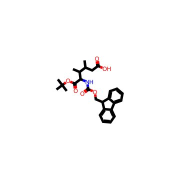 CC(CC(=O)O)C(C)C(NC(=O)OCC1c2ccccc2-c2ccccc21)C(=O)OC(C)(C)C